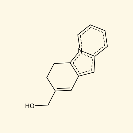 OCC1=Cc2cc3ccccn3c2CC1